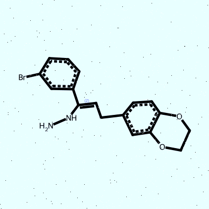 NN/C(=C\Cc1ccc2c(c1)OCCO2)c1cccc(Br)c1